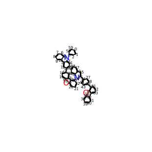 c1ccc(-n2c3ccccc3c3cc(-c4ccc5oc6cccc(-n7c(-c8ccc(-c9cccc%10c9oc9ccccc9%10)cc8)cc8ccccc87)c6c5c4)ccc32)cc1